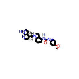 [2H]C([2H])(c1ccnc2[nH]ccc12)N1CCc2c(NC(=O)Nc3ccc(OC)cc3)cccc21